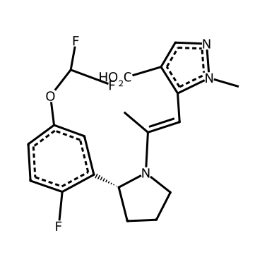 C/C(=C\c1c(C(=O)O)cnn1C)N1CCC[C@@H]1c1cc(OC(F)F)ccc1F